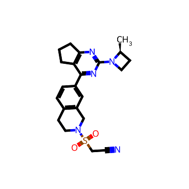 C[C@H]1CCN1c1nc2c(c(-c3ccc4c(c3)CN(S(=O)(=O)CC#N)CC4)n1)CCC2